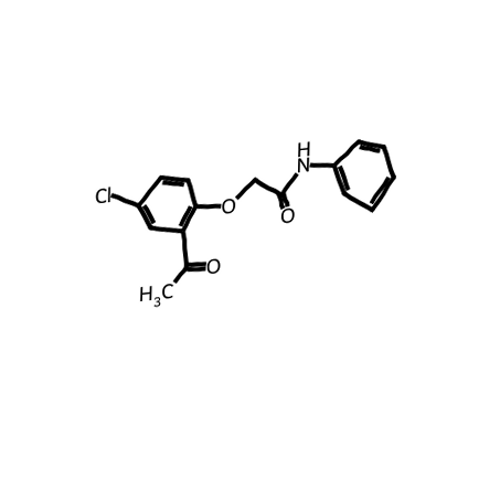 CC(=O)c1cc(Cl)ccc1OCC(=O)Nc1ccccc1